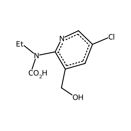 CCN(C(=O)O)c1ncc(Cl)cc1CO